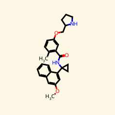 COc1cc(C2(NC(=O)c3cc(OCC4CCCN4)ccc3C)CC2)c2ccccc2c1